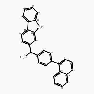 CC(c1ccc(-c2cccc3ccccc23)cc1)c1ccc2c(c1)sc1ccccc12